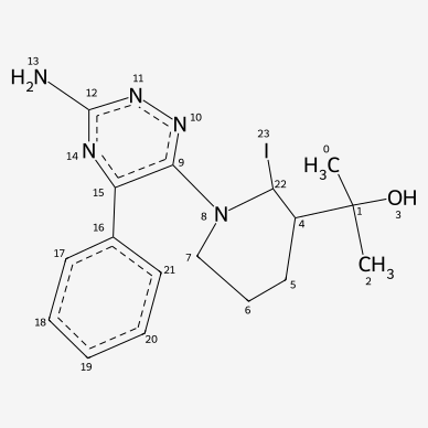 CC(C)(O)C1CCCN(c2nnc(N)nc2-c2ccccc2)C1I